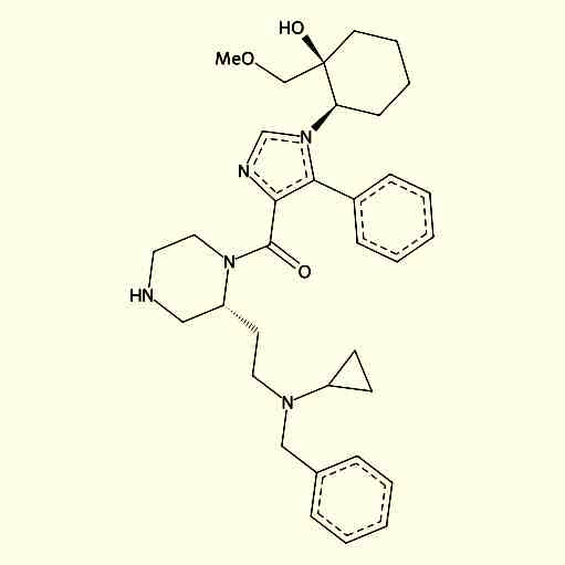 COC[C@]1(O)CCCC[C@H]1n1cnc(C(=O)N2CCNC[C@H]2CCN(Cc2ccccc2)C2CC2)c1-c1ccccc1